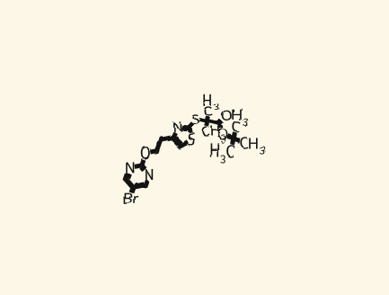 CC(C)(C)OC(=O)C(C)(C)Sc1nc(CCOc2ncc(Br)cn2)cs1